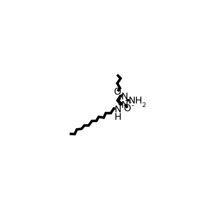 CCCCCCCCCCCCCNc1cc(OCCCC)nc(N)[n+]1[O-]